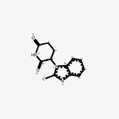 O=C1CCC(n2c(Cl)nc3ccccc32)C(=O)N1